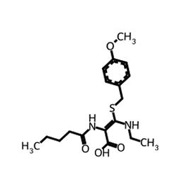 CCCCC(=O)NC(C(=O)O)=C(NCC)SCc1ccc(OC)cc1